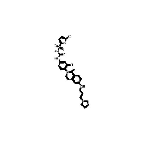 O=C(Nc1ccc(-n2ccc3cc(NCCCN4CCCC4)ccc3c2=O)c(Cl)c1)NS(=O)(=O)c1ccc(Cl)s1